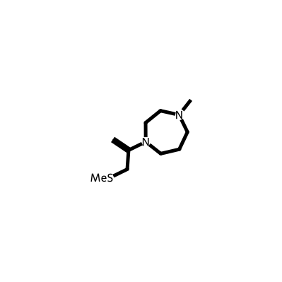 C=C(CSC)N1CCCN(C)CC1